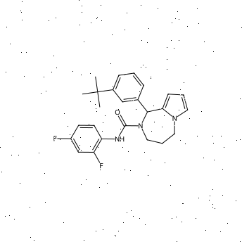 CC(C)(C)c1cccc(C2c3cccn3CCCN2C(=O)Nc2ccc(F)cc2F)c1